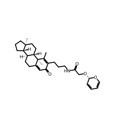 CC1=C(CCCNC(=O)CO[C@H]2C=CC=CO2)C(=O)C=C2CC[C@H]3[C@@H]4CCC[C@@]4(C)CC[C@@H]3[C@]21C